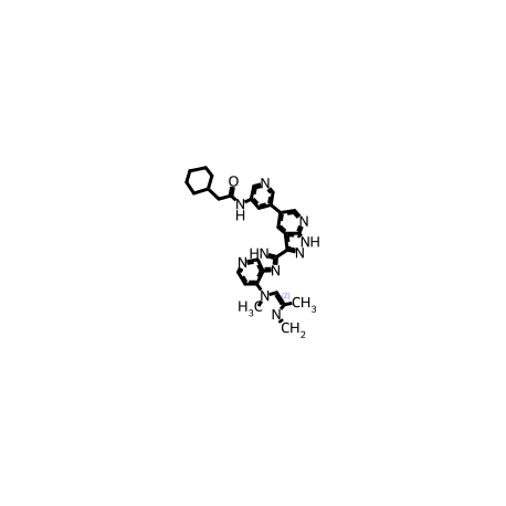 C=N/C(C)=C\N(C)c1ccnc2[nH]c(-c3n[nH]c4ncc(-c5cncc(NC(=O)CC6CCCCC6)c5)cc34)nc12